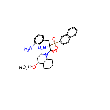 Nc1cccc(C[C@](N)(C(=O)N2CCC(OC(=O)O)C3CCCCC32)S(=O)(=O)c2ccc3ccccc3c2)c1